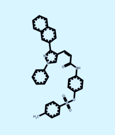 Cc1ccc(S(=O)(=O)Oc2ccc(NC(=O)/C=C\c3cn(-c4ccccc4)nc3-c3ccc4ccccc4c3)cc2)cc1